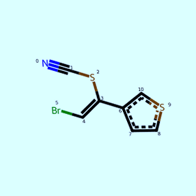 N#CS/C(=C\Br)c1ccsc1